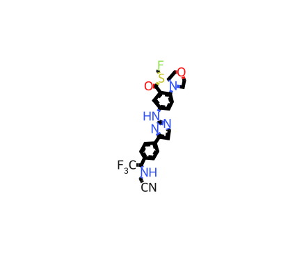 N#CCNC(c1ccc(-c2ccnc(Nc3ccc(N4CCOCC4)c(C(=O)SCF)c3)n2)cc1)C(F)(F)F